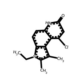 CCn1c(C)c(C)c2c3c(Cl)cc(=O)[nH]c3ccc21